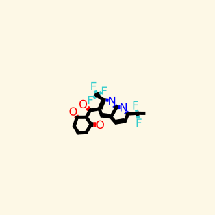 CC(F)(F)c1ccc2cc(C(=O)C3C(=O)CCCC3=O)c(C(F)(F)F)nc2n1